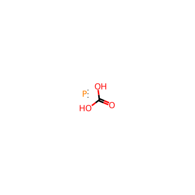 O=C(O)O.[P]